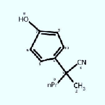 CCCC(C)(C#N)c1ccc(O)cc1